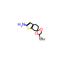 CC(C)(C)C1COC2(CCc3cc(N)sc3C2)O1